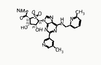 CNC(=O)[C@@H]1[C@@H](O)[C@@H](O)[C@H](n2cnc3c(NCc4cccc(C)n4)nc(-c4cncc(C)c4)nc32)S1(=O)=O